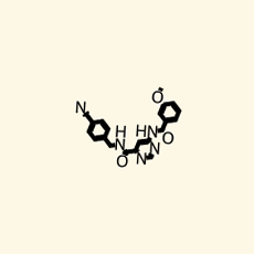 COc1cccc(C(=O)Nc2cc(C(=O)NCc3ccc(C#N)cc3)ncn2)c1